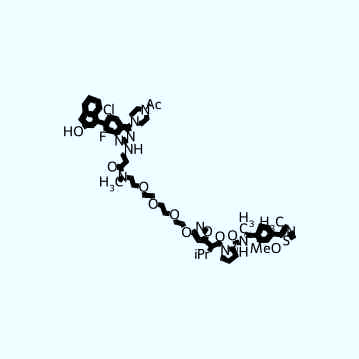 COc1cc(-c2scnc2C)ccc1[C@H](C)NC(=O)[C@@H]1CCCN1C(=O)C(c1cc(OCCOCCOCCOCCN(C)C(=O)CCNc2nc(N3CCN(C(C)=O)CC3)c3cc(Cl)c(-c4cc(O)cc5ccccc45)c(F)c3n2)no1)C(C)C